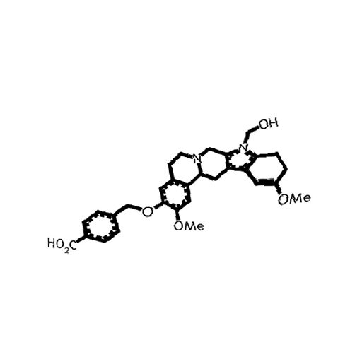 COC1=Cc2c3c(n(CO)c2CC1)CN1CCc2cc(OCc4ccc(C(=O)O)cc4)c(OC)cc2C1C3